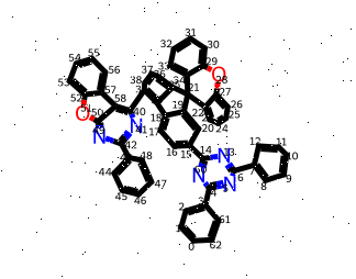 c1ccc(-c2nc(-c3ccccc3)nc(-c3ccc4c(c3)C3(c5ccccc5Oc5ccccc53)c3cccc(-c5nc(-c6ccccc6)nc6oc7ccccc7c56)c3-4)n2)cc1